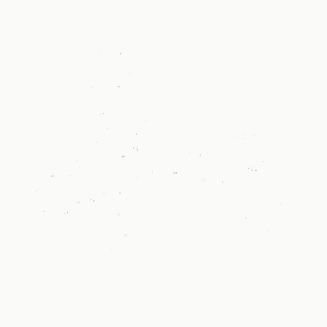 c1ccc(-c2ccc(N3c4ccccc4Sc4cc(-c5ccc(N6c7ccc(-c8ccccc8)cc7Cc7c6ccc6c7Sc7ccccc7N6c6ccccc6)cc5)ccc43)cc2)cc1